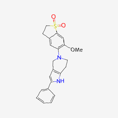 COc1cc2c(cc1N1CCc3[nH]c(-c4ccccc4)cc3C1)CCS2(=O)=O